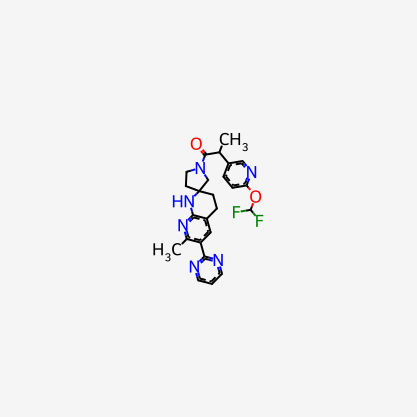 Cc1nc2c(cc1-c1ncccn1)CCC1(CCN(C(=O)C(C)c3ccc(OC(F)F)nc3)C1)N2